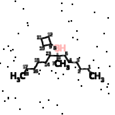 CCCCCCC(C)(BC1CCC1)CCCCCC